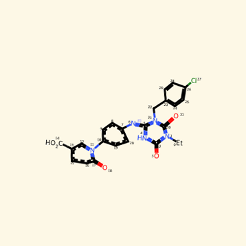 CCn1c(=O)[nH]/c(=N\c2ccc(-n3cc(C(=O)O)ccc3=O)cc2)n(CC2=C=C=C(Cl)C=C2)c1=O